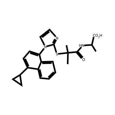 CC(NC(=O)C(C)(C)Sc1nccn1-c1ccc(C2CC2)c2ccccc12)C(=O)O